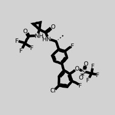 C[C@@H](NC(=O)C1(NC(=O)C(F)(F)F)CC1)c1ccc(-c2cc(Cl)cc(F)c2OS(=O)(=O)C(F)(F)F)cc1F